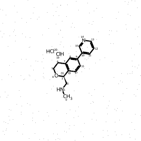 CNC[C@H]1OCCc2cc(-c3cccnc3)ccc21.Cl.Cl